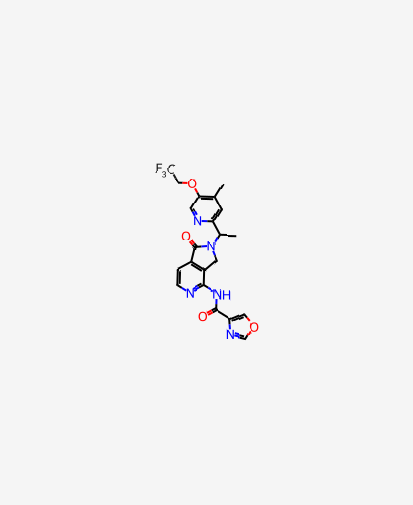 Cc1cc(C(C)N2Cc3c(ccnc3NC(=O)c3cocn3)C2=O)ncc1OCC(F)(F)F